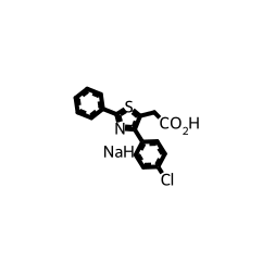 O=C(O)Cc1sc(-c2ccccc2)nc1-c1ccc(Cl)cc1.[NaH]